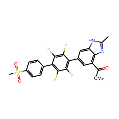 COC(=O)c1cc(-c2c(F)c(F)c(-c3ccc(S(C)(=O)=O)cc3)c(F)c2F)cc2[nH]c(C)nc12